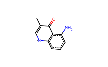 CC1=C[N]c2cccc(N)c2C1=O